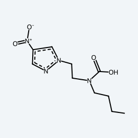 CCCCN(CCn1cc([N+](=O)[O-])cn1)C(=O)O